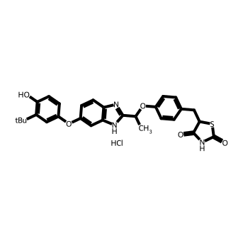 CC(Oc1ccc(CC2SC(=O)NC2=O)cc1)c1nc2ccc(Oc3ccc(O)c(C(C)(C)C)c3)cc2[nH]1.Cl